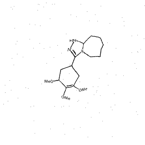 COC1=C(OC)C(OC)CC(C2=NNC3CCCCCN23)C1